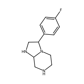 Fc1ccc(C2CNC3CNCCN32)cc1